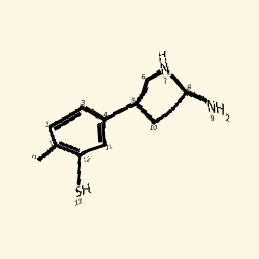 Cc1ccc(C2CNC(N)C2)cc1S